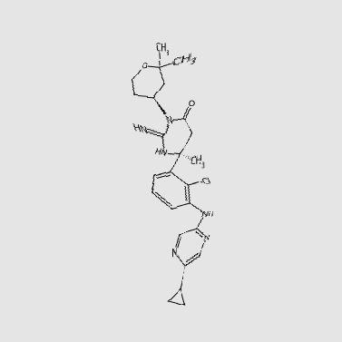 CC1(C)C[C@@H](N2C(=N)N[C@](C)(c3cccc(Nc4cnc(C5CC5)cn4)c3Cl)CC2=O)CCO1